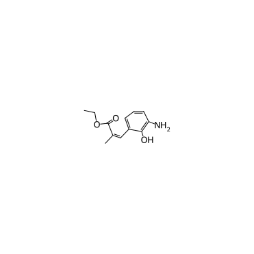 CCOC(=O)C(C)=Cc1cccc(N)c1O